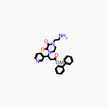 COC(=O)CC(c1cccnc1)N1CCN(CCN)C(=O)C1=O.c1ccc(-c2ccccc2)cc1